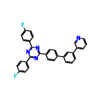 Fc1ccc(-c2nc(-c3ccc(F)cc3)nc(-c3ccc(-c4cccc(-c5cccnc5)c4)cc3)n2)cc1